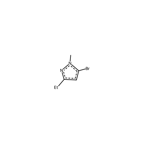 CCc1cc(Br)n(C)n1